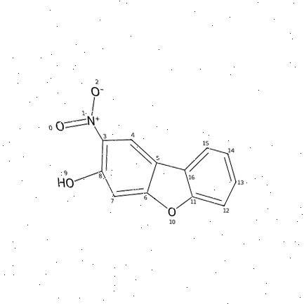 O=[N+]([O-])c1cc2c(cc1O)oc1ccccc12